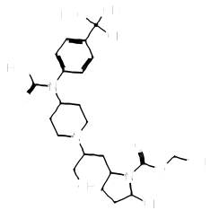 CCOC(=O)N1C(C)CCC1CC(CC)N1CCC(N(C(C)=O)c2ccc(C(C)(C)C)cc2)CC1